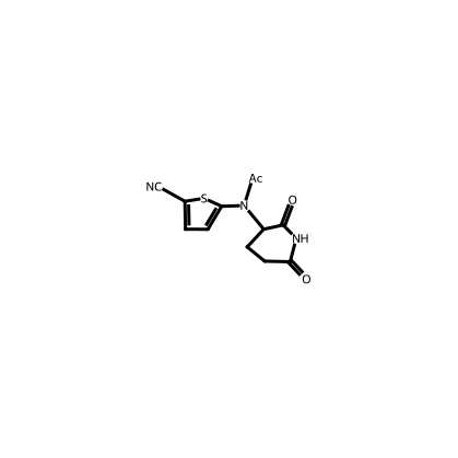 CC(=O)N(c1ccc(C#N)s1)C1CCC(=O)NC1=O